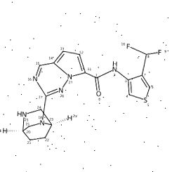 O=C(Nc1cscc1C(F)F)c1ccc2cnc(N3C[C@H]4CC[C@@H]3CN4)nn12